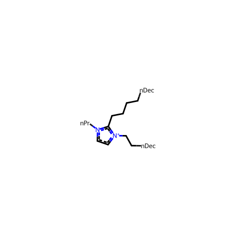 CCCCCCCCCCCCCCc1n(CCC)cc[n+]1CCCCCCCCCCCC